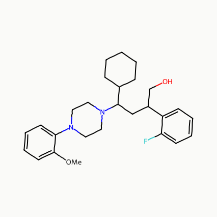 COc1ccccc1N1CCN(C(CC(CO)c2ccccc2F)C2CCCCC2)CC1